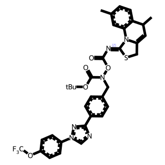 Cc1ccc2c(c1)N1C(=CC2C)CS/C1=N\C(=O)ON(Cc1ccc(-c2ncn(-c3ccc(OC(F)(F)F)cc3)n2)cc1)C(=O)OC(C)(C)C